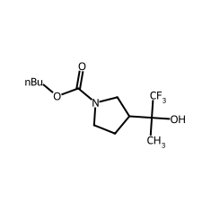 CCCCOC(=O)N1CCC(C(C)(O)C(F)(F)F)C1